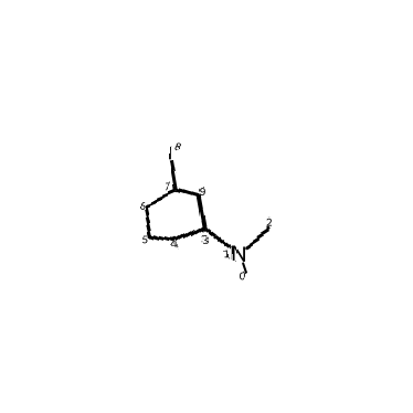 CN(C)C1CCCC(I)C1